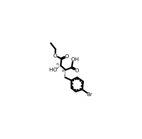 CCOC(=O)[C@@H](O)[C@@H](Cc1ccc(Br)cc1)C(=O)O